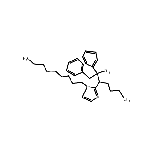 CCCCCCCCCn1ccnc1C(CCCC)C(C)(Cc1ccccc1)c1ccccc1